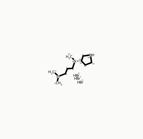 Br.Br.Br.CN(C)CCCN(C)[C@H]1CCNC1